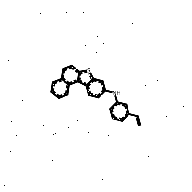 C=Cc1cccc(Nc2ccc3c(c2)sc2ccc4ccccc4c23)c1